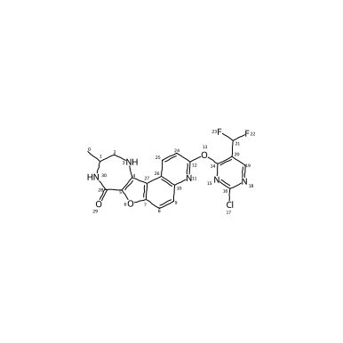 CC1CNc2c(oc3ccc4nc(Oc5nc(Cl)ncc5C(F)F)ccc4c23)C(=O)N1